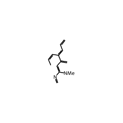 C=C/C=C(\C=C/C)C(=C)/C=C(/N=C)NC